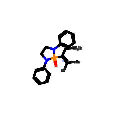 CCCC/C(CC)=C(\CC(=O)OCC)P1(=O)N(c2ccccc2)CCN1c1ccccc1